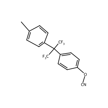 Cc1ccc(C(c2ccc(OC#N)cc2)(C(F)(F)F)C(F)(F)F)cc1